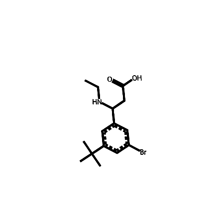 CCNC(CC(=O)O)c1cc(Br)cc(C(C)(C)C)c1